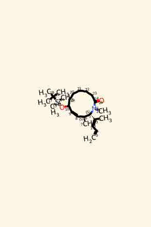 C=CC=C(C)[C@@H]1[C@@H](C)C=CC(O[Si](C)(C)C(C)(C)C)CCCCCC(=O)N1C